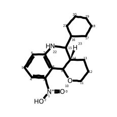 O=[N+](O)c1cccc2c1C1OCCC[C@H]1C(C1CCCCC1)N2